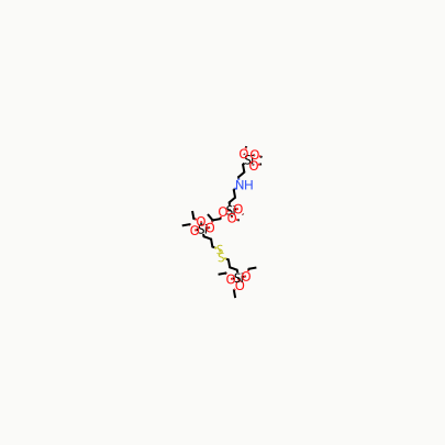 CCO[Si](CCCSSCCC[Si](OCC)(OCC)OC(C)CO[Si](CCCNCCC[Si](OC)(OC)OC)(OC)OC)(OCC)OCC